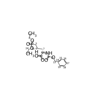 CCOP(=O)(CCC[C@H](NC(=O)OCc1ccccc1)C(=O)O)OCC